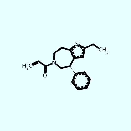 C=CC(=O)N1CCc2sc(CC)cc2[C@H](c2ccccc2)C1